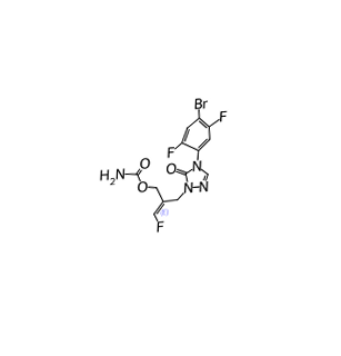 NC(=O)OC/C(=C/F)Cn1ncn(-c2cc(F)c(Br)cc2F)c1=O